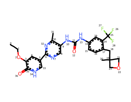 CCOc1cc(-c2ncc(NC(=O)Nc3ccc(CC4(C)COC4)c(C(F)(F)F)c3)c(C)n2)c[nH]c1=O